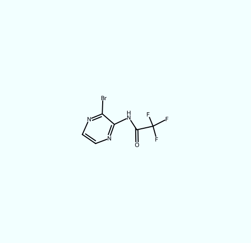 O=C(Nc1nccnc1Br)C(F)(F)F